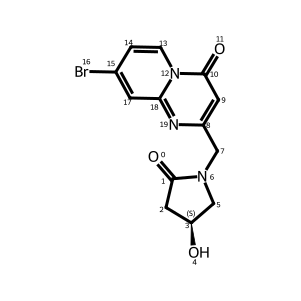 O=C1C[C@H](O)CN1Cc1cc(=O)n2ccc(Br)cc2n1